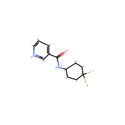 O=C(NC1CCC(F)(F)CC1)c1cccnc1